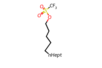 CCCCCCCCCCCCOS(=O)(=O)C(F)(F)F